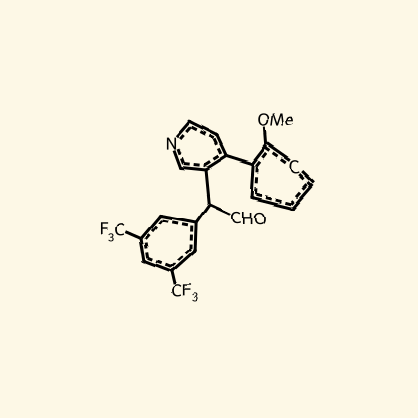 COc1ccccc1-c1ccncc1C(C=O)c1cc(C(F)(F)F)cc(C(F)(F)F)c1